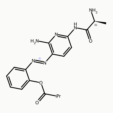 CC(C)C(=O)Oc1ccccc1/N=N/c1ccc(NC(=O)[C@H](C)N)nc1N